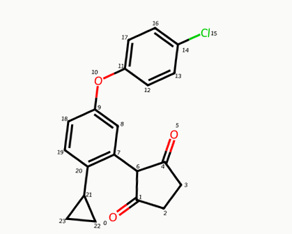 O=C1CCC(=O)C1c1cc(Oc2ccc(Cl)cc2)ccc1C1CC1